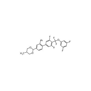 CC1COC(c2ccc(-c3cc(F)c(C(F)(F)Oc4cc(F)cc(F)c4)c(F)c3)c(C(C)C)c2)OC1